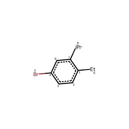 CCc1ccc(Br)cc1[C](C)C